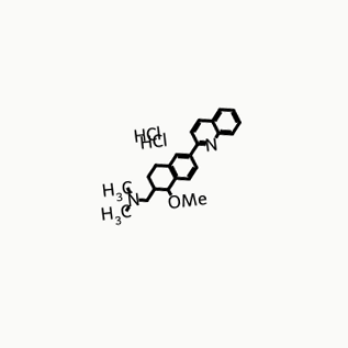 COC1c2ccc(-c3ccc4ccccc4n3)cc2CCC1CN(C)C.Cl.Cl